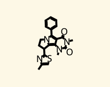 Cc1csc(C2CCn3c(-c4ccccc4)c4c(=O)n(C)c(=O)n(C)c4c32)n1